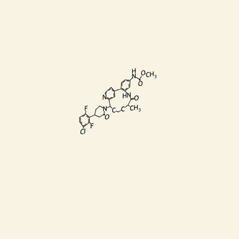 COC(=O)Nc1ccc2c(c1)NC(=O)C(C)CCCC(N1CCC(c3c(F)ccc(Cl)c3F)CC1=O)c1cc-2ccn1